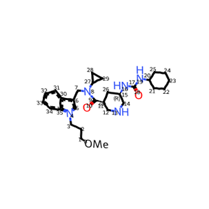 COCCCn1cc(CN(C(=O)[C@@H]2CNC[C@H](NC(=O)NC3CCCCC3)C2)C2CC2)c2ccccc21